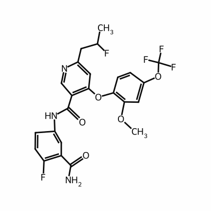 COc1cc(OC(F)(F)F)ccc1Oc1cc(CC(C)F)ncc1C(=O)Nc1ccc(F)c(C(N)=O)c1